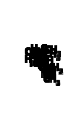 Cc1ccc(-n2nc(C(C)(C)C)cc2NC(O)Nc2ccc(-c3nn(C)c4ncnc(N)c34)cc2F)cc1